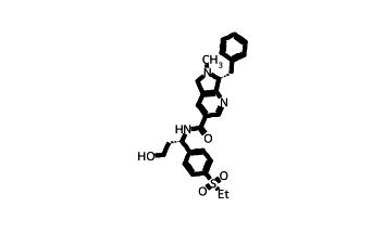 CCS(=O)(=O)c1ccc([C@H](CCO)NC(=O)c2cnc3c(c2)CN(C)[C@@H]3Cc2ccccc2)cc1